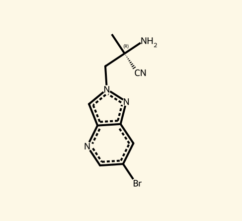 C[C@](N)(C#N)Cn1cc2ncc(Br)cc2n1